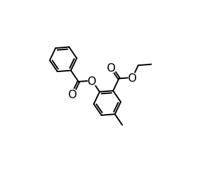 CCOC(=O)c1cc(C)ccc1OC(=O)c1ccccc1